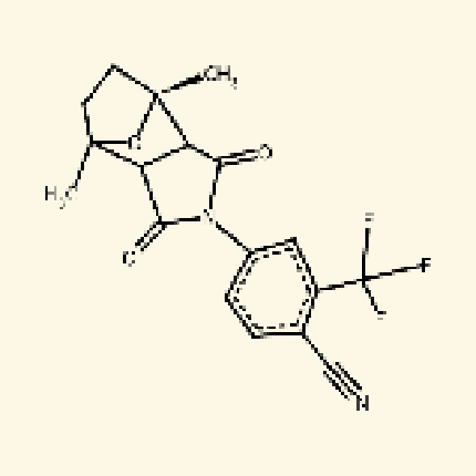 CC12CC[C@@](C)(O1)C1C(=O)N(c3ccc(C#N)c(C(F)(F)F)c3)C(=O)C12